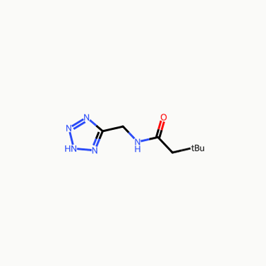 CC(C)(C)CC(=O)NCc1nn[nH]n1